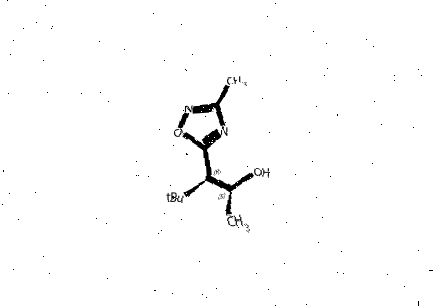 Cc1noc([C@@H]([C@H](C)O)C(C)(C)C)n1